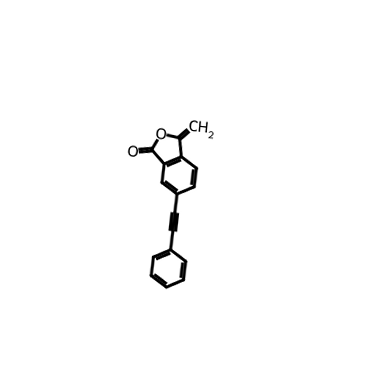 C=C1OC(=O)c2cc(C#Cc3ccccc3)ccc21